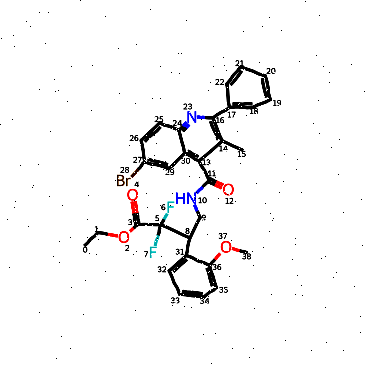 CCOC(=O)C(F)(F)C(CNC(=O)c1c(C)c(-c2ccccc2)nc2ccc(Br)cc12)c1ccccc1OC